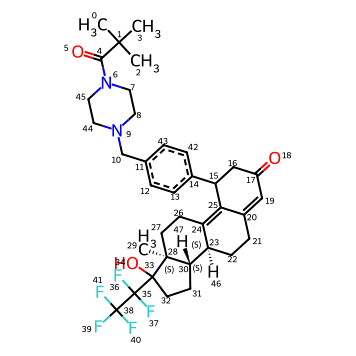 CC(C)(C)C(=O)N1CCN(Cc2ccc(C3CC(=O)C=C4CC[C@@H]5C(=C43)CC[C@@]3(C)[C@H]5CCC3(O)C(F)(F)C(F)(F)F)cc2)CC1